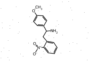 COc1ccc(C(N)Cc2ccccc2[N+](=O)[O-])cc1